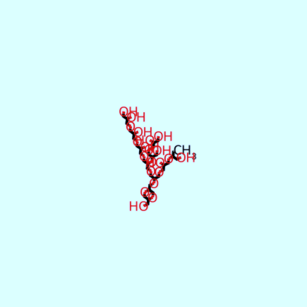 CCC(CO)OCC(O)COCC(COCC(COCC(O)COCC(O)COCC(O)CO)OC(CO)COCC(O)CO)OCC1COC(CO)CO1